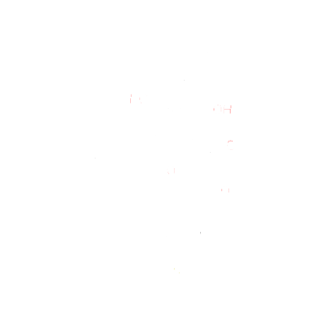 COc1c(-c2ccc(SC)cc2)oc2c(CC=C(C)C)c(O)c(CC=C(C)C)c(O)c2c1=O